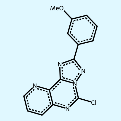 COc1cccc(-c2nc3c4ncccc4nc(Cl)n3n2)c1